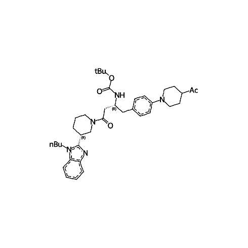 CCCCn1c([C@@H]2CCCN(C(=O)C[C@@H](Cc3ccc(N4CCC(C(C)=O)CC4)cc3)NC(=O)OC(C)(C)C)C2)nc2ccccc21